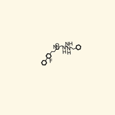 N=C(NCCc1ccccc1)NCc1cc(CCc2ccc(-c3ccccc3)c(F)c2)no1